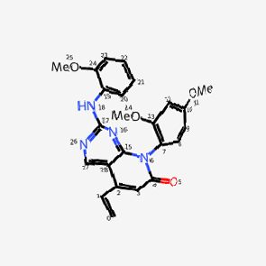 C=Cc1cc(=O)n(-c2ccc(OC)cc2OC)c2nc(Nc3ccccc3OC)ncc12